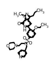 CCCc1nn(C)c2c(=O)[nH]c(-c3cc(S(=O)(=O)N(CCN4CCOCC4)Cc4ccncc4)ccc3OCC)cc12